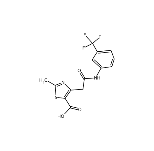 Cc1nc(CC(=O)Nc2cccc(C(F)(F)F)c2)c(C(=O)O)s1